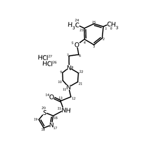 Cc1ccc(OCCN2CCN(CC(=O)Nc3nccs3)CC2)c(C)c1.Cl.Cl